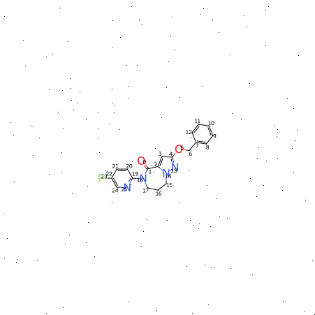 O=C1c2cc(OCc3ccccc3)nn2CCCN1c1ccc(F)cn1